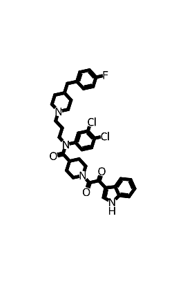 O=C(C(=O)N1CCC(C(=O)N(CCCN2CCC(Cc3ccc(F)cc3)CC2)c2ccc(Cl)c(Cl)c2)CC1)c1c[nH]c2ccccc12